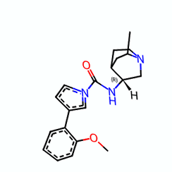 COc1ccccc1-c1ccn(C(=O)N[C@H]2CN3CCC2CC3C)c1